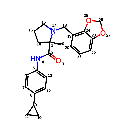 C[C@@]1(C(=O)Nc2ccc(C3CC3)cc2)CCCN1Cc1cccc2c1OCO2